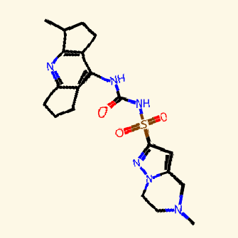 CC1CCc2c1nc1c(c2NC(=O)NS(=O)(=O)c2cc3n(n2)CCN(C)C3)CCC1